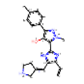 C=Cc1nc(-c2c(O)c(-c3ccc(C)cc3)nn2C)[nH]c1/C=C1\CCNC1